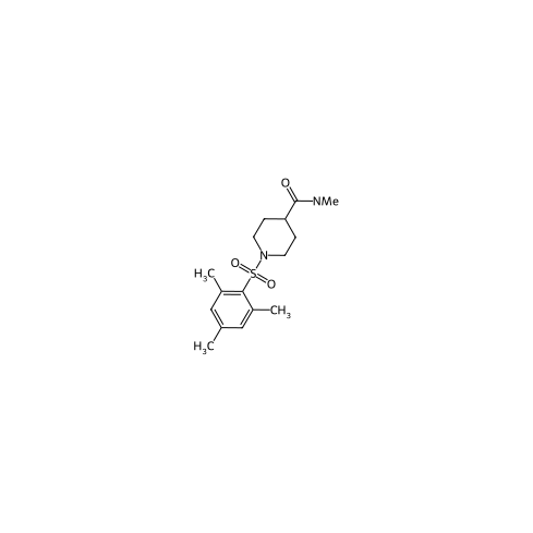 CNC(=O)C1CCN(S(=O)(=O)c2c(C)cc(C)cc2C)CC1